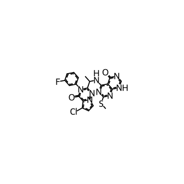 CSc1nc(NC(C)c2nn3ccc(Cl)c3c(=O)n2-c2cccc(F)c2)c2c(=O)nc[nH]c2n1